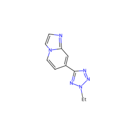 CCn1nnc(-c2ccn3ccnc3c2)n1